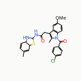 COc1ccc2c(c1)c(CC(=O)NC1NC3C=CC(C)=CC3S1)c(C)n2C(=O)c1ccc(Cl)cc1